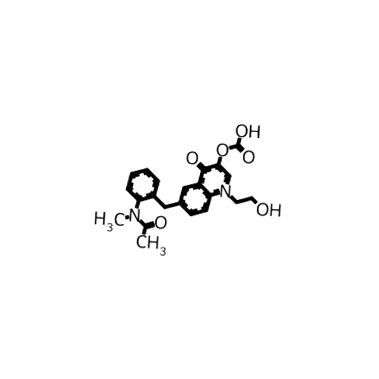 CC(=O)N(C)c1ccccc1Cc1ccc2c(c1)c(=O)c(OC(=O)O)cn2CCO